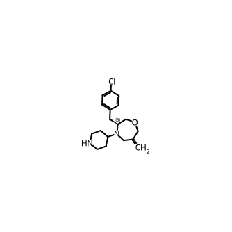 C=C1COC[C@H](Cc2ccc(Cl)cc2)N(C2CCNCC2)C1